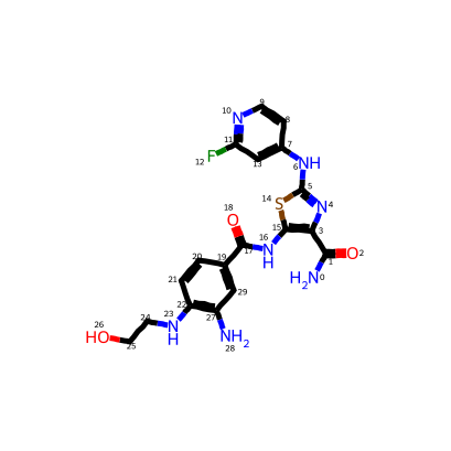 NC(=O)c1nc(Nc2ccnc(F)c2)sc1NC(=O)c1ccc(NCCO)c(N)c1